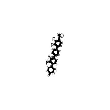 CC1CCC(c2ccc(-c3ccc(-c4ccc(C5CO5)c(F)c4F)cc3)c(F)c2F)CC1